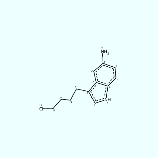 Nc1ccc2[nH]cc(CCCCCl)c2c1